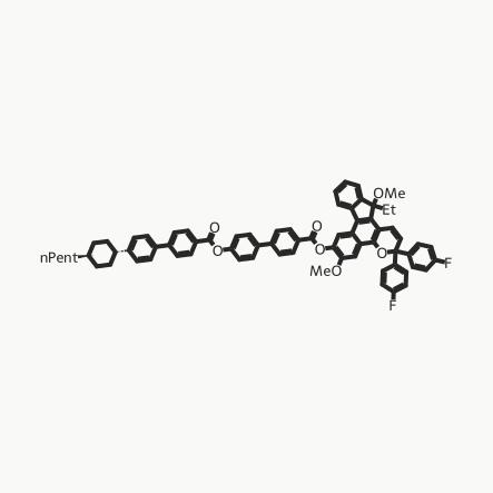 CCCCC[C@H]1CC[C@H](c2ccc(-c3ccc(C(=O)Oc4ccc(-c5ccc(C(=O)Oc6cc7c8c(c9c(c7cc6OC)OC(c6ccc(F)cc6)(c6ccc(F)cc6)C=C9)C(CC)(OC)c6ccccc6-8)cc5)cc4)cc3)cc2)CC1